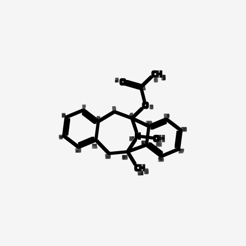 CC(=O)OC12Cc3ccccc3CC(C)(c3ccccc31)N2O